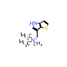 C[N+](C)(C)Cc1c[nH]c2ccsc12